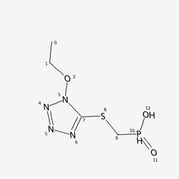 CCOn1nnnc1SC[PH](=O)O